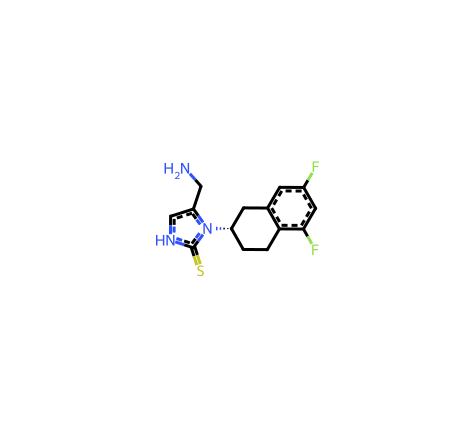 NCc1c[nH]c(=S)n1[C@H]1CCc2c(F)cc(F)cc2C1